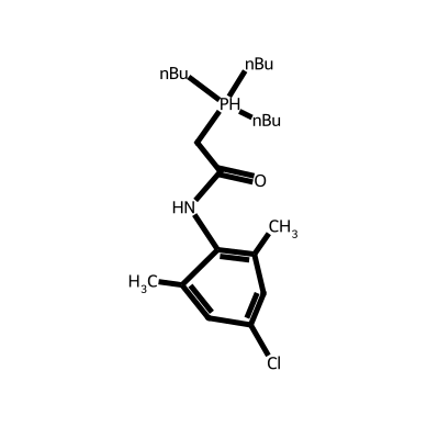 CCCC[PH](CCCC)(CCCC)CC(=O)Nc1c(C)cc(Cl)cc1C